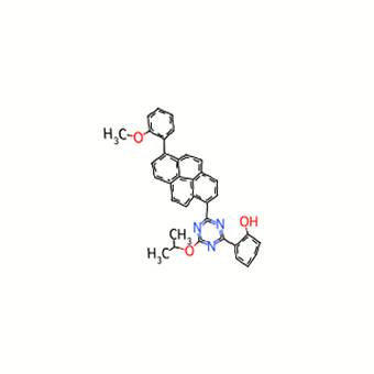 COc1ccccc1-c1ccc2ccc3c(-c4nc(OC(C)C)nc(-c5ccccc5O)n4)ccc4ccc1c2c43